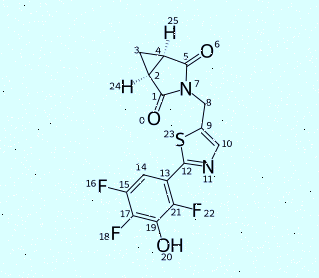 O=C1[C@H]2C[C@H]2C(=O)N1Cc1cnc(-c2cc(F)c(F)c(O)c2F)s1